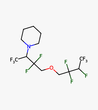 FC(C(F)(F)F)C(F)(F)COCC(F)(F)C(N1CCCCC1)C(F)(F)F